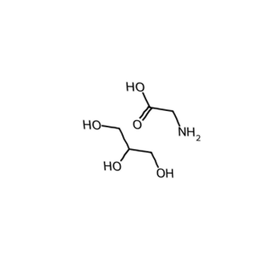 NCC(=O)O.OCC(O)CO